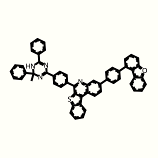 CC1(c2ccccc2)N=C(c2ccc(-c3nc4cc(-c5ccc(-c6cccc7oc8ccccc8c67)cc5)ccc4c4c3sc3ccccc34)cc2)N=C(c2ccccc2)N1